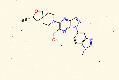 C#C[C@H]1CC2(CCN(c3nc4cnn(-c5ccc6c(c5)ncn6C)c4nc3CO)CC2)CO1